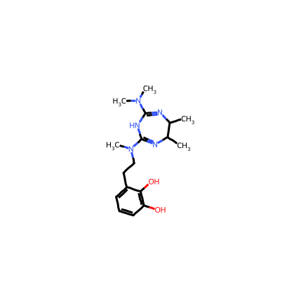 CC1N=C(N(C)C)NC(N(C)CCc2cccc(O)c2O)=NC1C